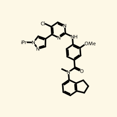 COc1cc(C(=O)N(C)c2cccc3c2CCC3)ccc1Nc1ncc(Cl)c(-c2cnn(C(C)C)c2)n1